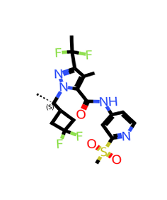 Cc1c(C(C)(F)F)nn([C@@H](C)C2CC(F)(F)C2)c1C(=O)Nc1ccnc(S(C)(=O)=O)c1